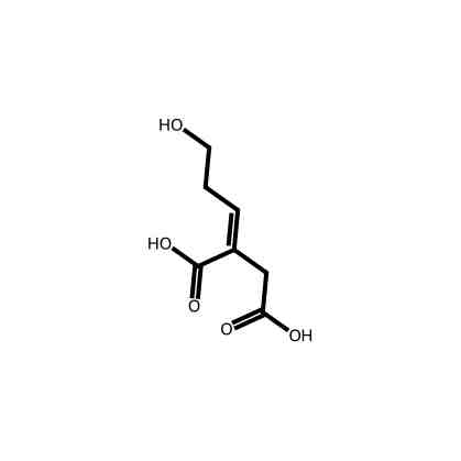 O=C(O)CC(=CCCO)C(=O)O